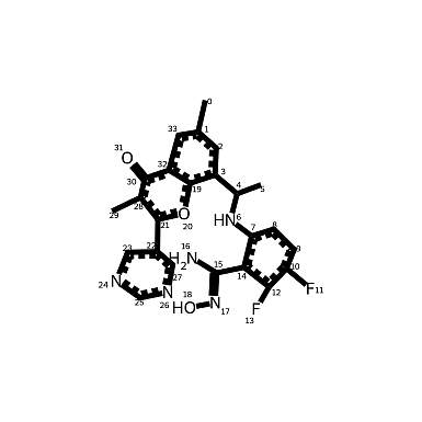 Cc1cc(C(C)Nc2ccc(F)c(F)c2C(N)=NO)c2oc(-c3cncnc3)c(C)c(=O)c2c1